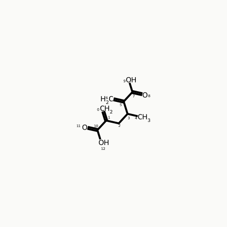 C=C(CC(C)C(=C)C(=O)O)C(=O)O